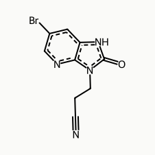 N#CCCn1c(=O)[nH]c2cc(Br)cnc21